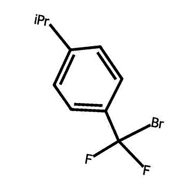 CC(C)c1ccc(C(F)(F)Br)cc1